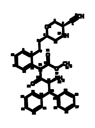 C#C[C@@H]1CO[C@H](CCc2ccccc2N(C(=O)OC)C(=O)[C@@H](N)C(c2ccccc2)c2ccccc2)CN1